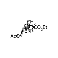 C=CC1C[C@@H](C(=O)OCC)CCC1C(C#N)(C#N)CC#CCOC(C)=O